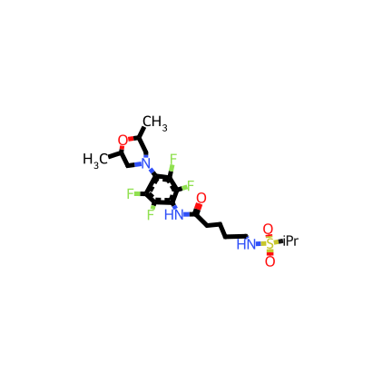 CC1CN(c2c(F)c(F)c(NC(=O)CCCCNS(=O)(=O)C(C)C)c(F)c2F)CC(C)O1